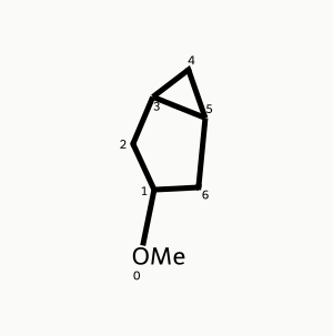 COC1CC2CC2C1